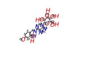 COc1ccc(CNc2ncn(C3O[C@H](CO)[C@@H](O)[C@H](O)[C@H]3O)c3ncnc2-3)c(O)c1